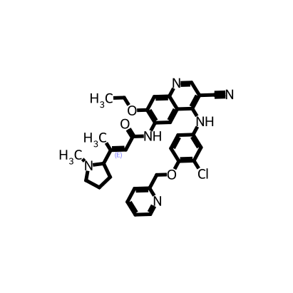 CCOc1cc2ncc(C#N)c(Nc3ccc(OCc4ccccn4)c(Cl)c3)c2cc1NC(=O)/C=C(\C)C1CCCN1C